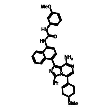 CNC1CC=C(c2cnc(N)c3c(-c4ccc(NC(=O)Nc5cccc(OC)c5)c5ccccc45)nc(C(C)C)n23)CC1